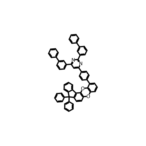 c1ccc(-c2cccc(-c3cc(-c4ccc(-c5cccc6c5Oc5c(ccc7c5-c5ccccc5C7(c5ccccc5)c5ccccc5)O6)cc4)nc(-c4cccc(-c5ccccc5)c4)n3)c2)cc1